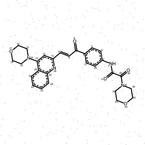 O=C(Nc1ccc(C(=O)C=Cc2cc(N3CCOCC3)c3ccccc3n2)cc1)C(=O)N1CCOCC1